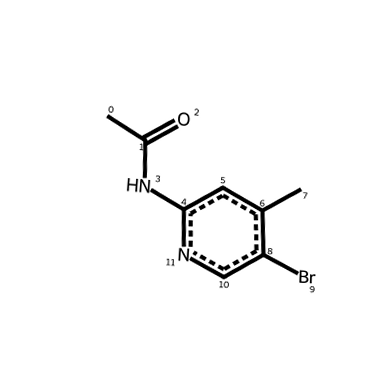 CC(=O)Nc1cc(C)c(Br)cn1